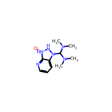 CN(C)C(N(C)C)N1N[NH+]([O-])c2ncccc21